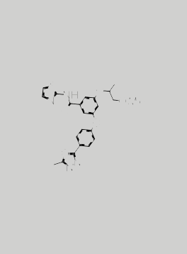 COCC(C)Oc1cc(Oc2ccc(-c3nnc(C)o3)cc2)cc(C(=O)Nc2nccs2)c1